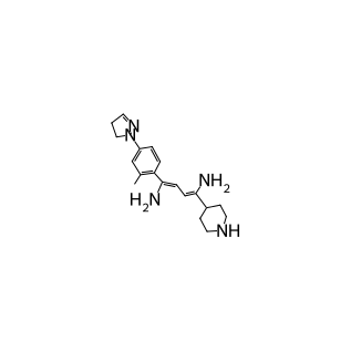 Cc1cc(N2CCC=N2)ccc1/C(N)=C/C=C(\N)C1CCNCC1